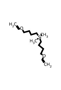 C=COCCCC[Si](C)(C)CCCCOC=C